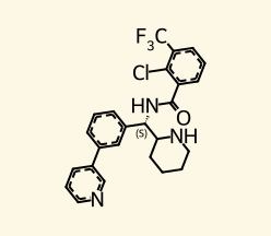 O=C(N[C@@H](c1cccc(-c2cccnc2)c1)C1CCCCN1)c1cccc(C(F)(F)F)c1Cl